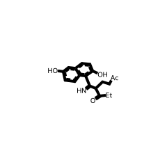 CCC(=O)C(CCC(C)=O)C(=N)c1c(O)ccc2cc(O)ccc12